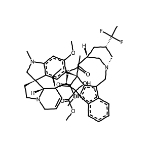 CC[C@@]1([C@@H](OC(C)=O)C(C)(O)C(=O)OC)C=CCN2CC[C@]3(CN(C)c4cc(OC)c([C@@]5(C(=O)OC)C[C@@H]6C[C@H](C(C)(F)F)C[N@](Cc7c5[nH]c5ccccc75)C6)cc43)[C@@H]21